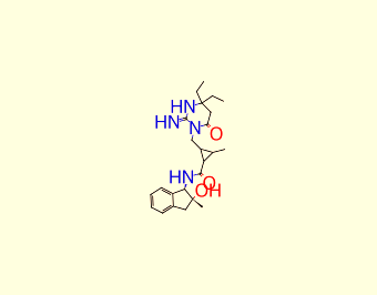 CCC1(CC)CC(=O)N(CC2C(C)C2C(=O)N[C@@H]2c3ccccc3C[C@@]2(C)O)C(=N)N1